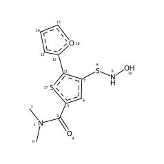 CN(C)C(=O)c1cc(SNO)c(-c2ccco2)s1